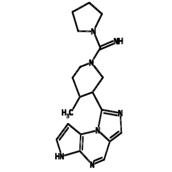 CC1CCN(C(=N)N2CCCC2)CC1c1ncc2cnc3[nH]ccc3n12